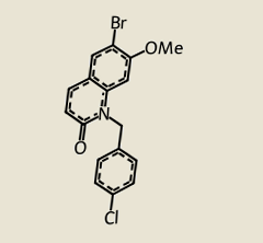 COc1cc2c(ccc(=O)n2Cc2ccc(Cl)cc2)cc1Br